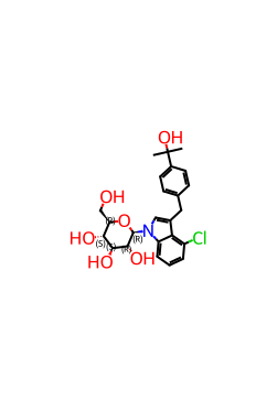 CC(C)(O)c1ccc(Cc2cn([C@@H]3O[C@H](CO)[C@@H](O)[C@H](O)[C@H]3O)c3cccc(Cl)c23)cc1